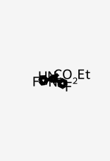 CCOC(=O)c1[nH]c(-c2ccc(F)cc2)nc1-c1ccc(F)cc1